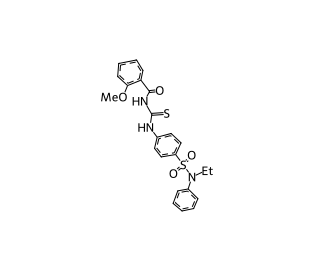 CCN(c1ccccc1)S(=O)(=O)c1ccc(NC(=S)NC(=O)c2ccccc2OC)cc1